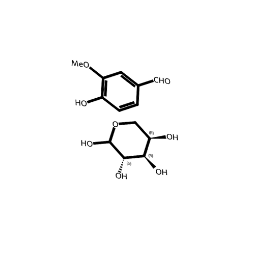 COc1cc(C=O)ccc1O.OC1OC[C@@H](O)[C@@H](O)[C@@H]1O